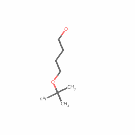 CCCC(C)(C)OCCCC[O]